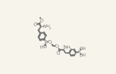 COC(=O)[C@@H](N)Cc1ccc(B(O)OCOC(=O)[C@@H](N)Cc2ccc(B(O)O)cc2)cc1